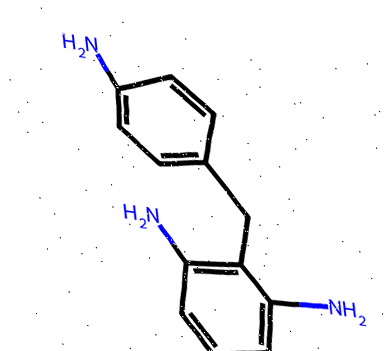 Nc1ccc(Cc2c(N)cccc2N)cc1